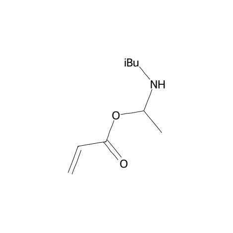 C=CC(=O)OC(C)NC(C)CC